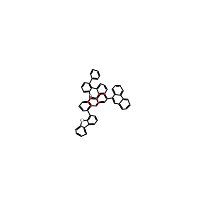 c1ccc(-c2ccccc2-c2c(-c3ccccc3)cccc2N(c2ccc(-c3cc4ccccc4c4ccccc34)cc2)c2cccc(-c3cccc4c3oc3ccccc34)c2)cc1